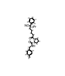 CC(C)[C@@](C#N)(CCCCC(=O)N1CCC[C@@H]1C(=O)NCc1ccc(F)cc1)c1ccccc1